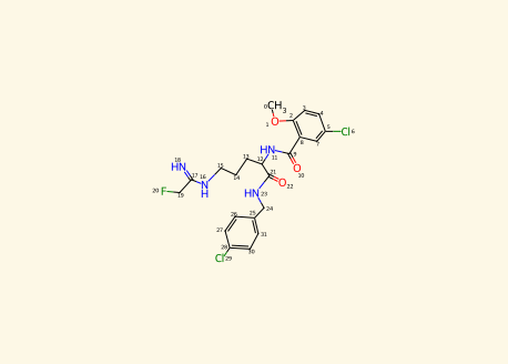 COc1ccc(Cl)cc1C(=O)NC(CCCNC(=N)CF)C(=O)NCc1ccc(Cl)cc1